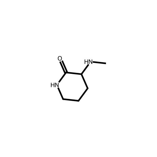 CNC1CCCNC1=O